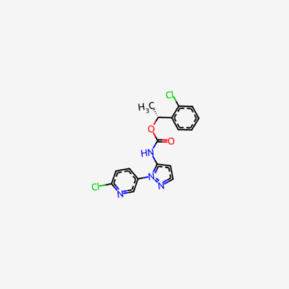 C[C@@H](OC(=O)Nc1ccnn1-c1ccc(Cl)nc1)c1ccccc1Cl